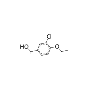 CCOc1ccc([CH]O)cc1Cl